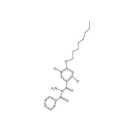 CCCCCCCCOc1cc(Cl)c(C(=O)N(N)C(=O)c2ccccc2)cc1Cl